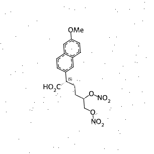 COc1ccc2cc([C@H](CCC(CO[N+](=O)[O-])O[N+](=O)[O-])C(=O)O)ccc2c1